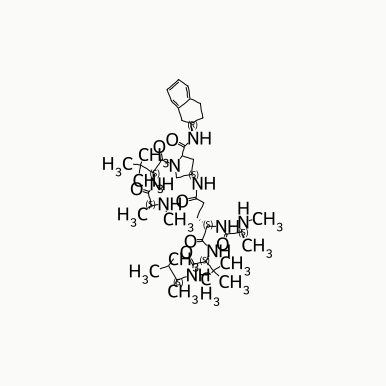 CN[C@@H](C)C(=O)N[C@@H](CCC(=O)N[C@H]1CC(C(=O)N[C@@H]2CCc3ccccc3C2)N(C(=O)[C@@H](NC(=O)[C@H](C)NC)C(C)(C)C)C1)C(=O)N[C@H](C(=O)N[C@@H](C)C(C)C)C(C)(C)C